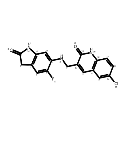 O=C1Cc2cc(F)c(NCc3cc4cc(Cl)ccc4[nH]c3=O)cc2N1